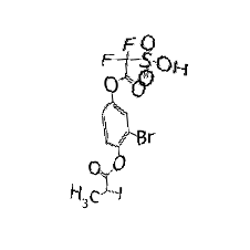 CC(I)C(=O)Oc1ccc(OC(=O)C(F)(F)S(=O)(=O)O)cc1Br